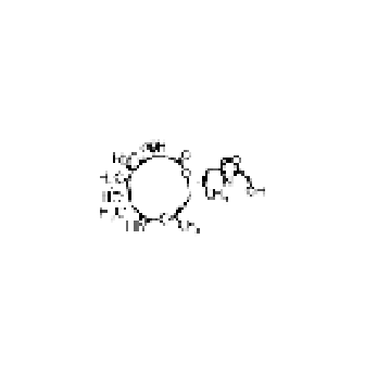 C/C(=C\c1coc(CO)n1)[C@@H]1C/C=C(/C(F)(F)F)CC2NC2[C@H](C)[C@H](O)[C@@H](C)C(=O)C(C)(C)[C@@H](O)CC(=O)O1